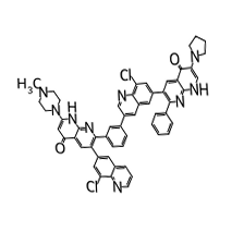 CN1CCN(c2cc(=O)c3cc(-c4cc(Cl)c5ncccc5c4)c(-c4cccc(-c5cnc6c(Cl)cc(-c7cc8c(=O)c(N9CCCC9)c[nH]c8nc7-c7ccccc7)cc6c5)c4)nc3[nH]2)CC1